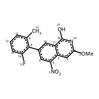 COc1cc2c([N+](=O)[O-])cc(-c3c(C)cccc3F)cc2c(O)n1